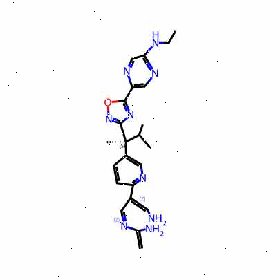 C=C(N)/N=C\C(=C/N)c1ccc([C@@](C)(c2noc(-c3cnc(NCC)cn3)n2)C(C)C)cn1